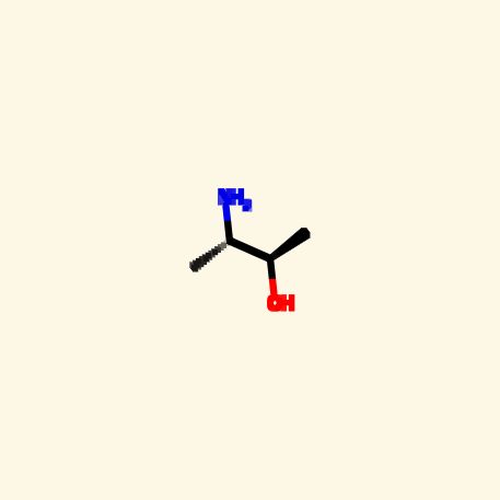 C[C@H](N)[C@@H](C)O